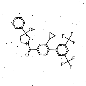 O=C(c1ccc(-c2cc(C(F)(F)F)cc(C(F)(F)F)c2)c(C2CC2)c1)N1CCC(O)(c2cccnc2)C1